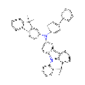 CC1(C)c2ccccc2-c2ccc(N(c3ccc4c(c3)c3cccc5c3n4-c3ccccc3C5(C)C)C3C=CC(c4ccccc4)=CC3)cc21